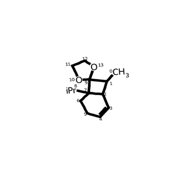 CC1C2C=CCCC2(C(C)C)C12OCCO2